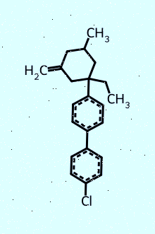 C=C1CC(C)CC(CC)(c2ccc(-c3ccc(Cl)cc3)cc2)C1